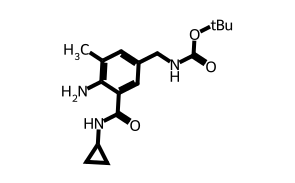 Cc1cc(CNC(=O)OC(C)(C)C)cc(C(=O)NC2CC2)c1N